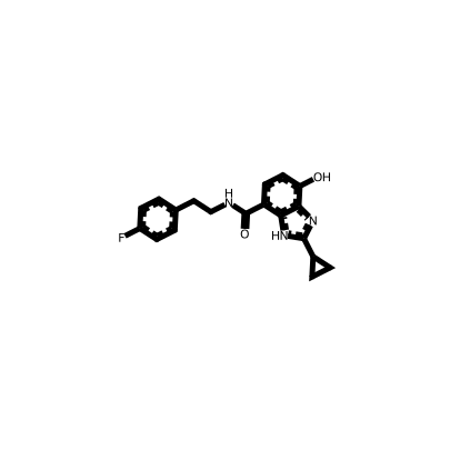 O=C(NCCc1ccc(F)cc1)c1ccc(O)c2nc(C3CC3)[nH]c12